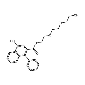 O=C(OCCOCCOCCO)c1cc(O)c2ccccc2c1-c1ccccc1